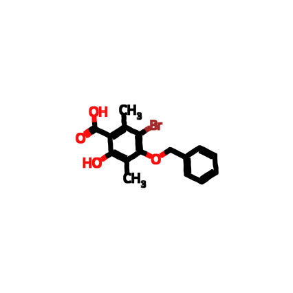 Cc1c(O)c(C(=O)O)c(C)c(Br)c1OCc1ccccc1